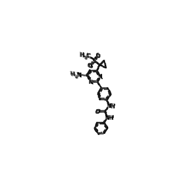 CS(=O)(=O)C1(c2cc(N)nc(-c3ccc(NC(=O)Nc4ccccc4)cc3)n2)CC1